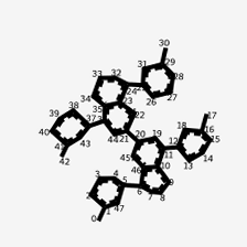 Cc1cccc(-c2cccc3c(-c4cccc(C)c4)cc(-c4[c]c5c(-c6cccc(C)c6)cccc5c(-c5cccc(C)c5)c4)[c]c23)c1